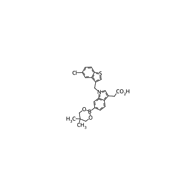 CC1(C)COB(c2ccc3c(CC(=O)O)cn(Cc4csc5ccc(Cl)cc45)c3c2)OC1